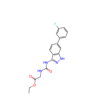 CCOC(=O)CNC(=O)Nc1n[nH]c2cc(-c3cccc(F)c3)ccc12